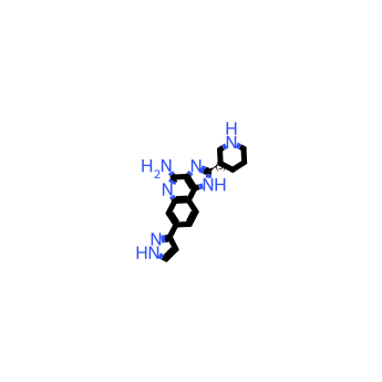 Nc1nc2cc(-c3cc[nH]n3)ccc2c2[nH]c([C@H]3CCCNC3)nc12